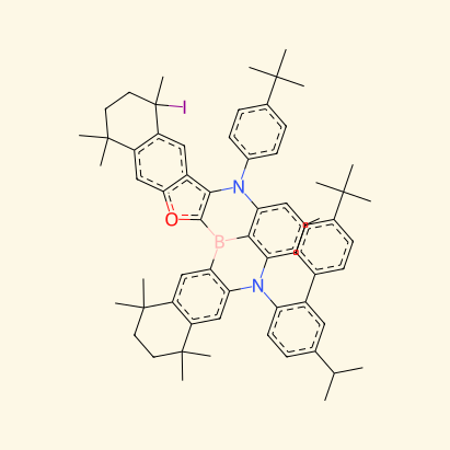 Cc1cc2c3c(c1)N(c1ccc(C(C)(C)C)cc1)c1c(oc4cc5c(cc14)C(C)(I)CCC5(C)C)B3c1cc3c(cc1N2c1ccc(C(C)C)cc1-c1ccc(C(C)(C)C)cc1)C(C)(C)CCC3(C)C